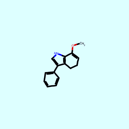 COC1=CCCc2c(-c3ccccc3)c[nH]c21